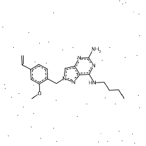 C=Cc1ccc(Cn2cc3nc(N)nc(NCCCC)c3n2)c(OC)c1